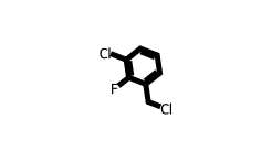 Fc1c(Cl)cccc1CCl